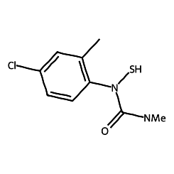 CNC(=O)N(S)c1ccc(Cl)cc1C